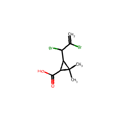 C=C(Br)C(Br)C1C(C(=O)O)C1(C)C